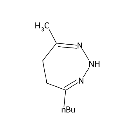 CCCCC1=NNN=C(C)CC1